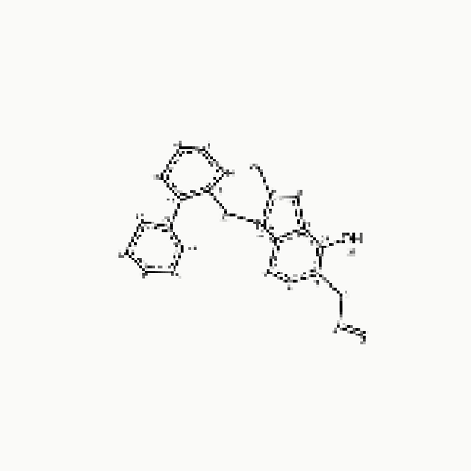 C=CCc1ccc2c(cc(C)n2Cc2ccccc2-c2ccccc2)c1O